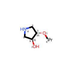 CC(C)O[C@H]1CNC[C@@H]1O